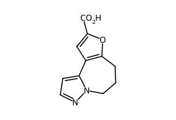 O=C(O)c1cc2c(o1)CCCn1nccc1-2